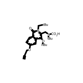 C#CCOc1ccc2c(=O)n(CC(C)(C)C)c(CN(C(=O)O)C(C)(C)C)c(OCCCC)c2c1